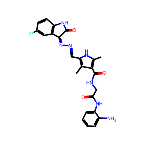 Cc1[nH]c(/C=N/N=C2\C(=O)Nc3ccc(F)cc32)c(C)c1C(=O)NCC(=O)Nc1ccccc1N